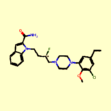 CCc1cc(Cl)c(OC)c(N2CCN(C[C@H](F)CCn3c(C(N)=O)cc4ccccc43)CC2)c1